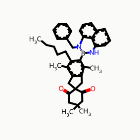 CCCCCc1c(C)c2c(c(C)c1B1Nc3cccc4cccc(c34)N1Cc1ccccc1)CC1(C2)C(=O)CC(C)(C)CC1=O